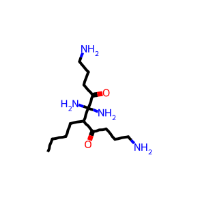 CCCCC(C(=O)CCCN)C(N)(N)C(=O)CCCN